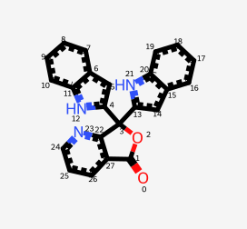 O=C1OC(c2cc3ccccc3[nH]2)(c2cc3ccccc3[nH]2)c2ncccc21